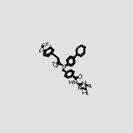 O=C(Nc1nn[nH]n1)c1ccc(CN(C(=O)Cc2ccc(OC(F)(F)F)cc2)c2ccc(C3CCCCC3)cc2)cc1